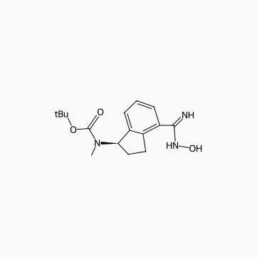 CN(C(=O)OC(C)(C)C)[C@@H]1CCc2c(C(=N)NO)cccc21